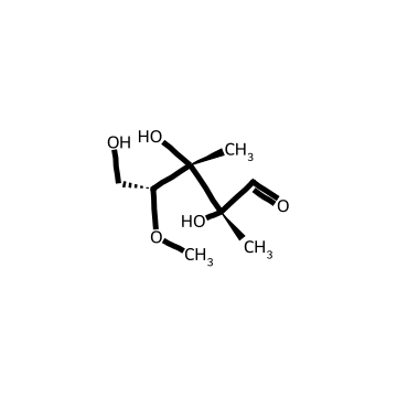 CO[C@H](CO)[C@](C)(O)[C@@](C)(O)C=O